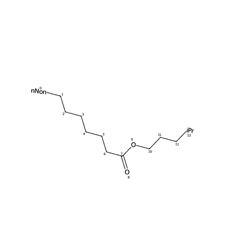 CCCCCCCCCCCCCCCC(=O)OCCCC(C)C